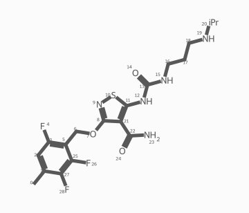 Cc1cc(F)c(COc2nsc(NC(=O)NCCCNC(C)C)c2C(N)=O)c(F)c1F